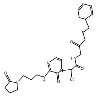 CCC(C(=O)NCC(=O)CSCC1C=CC=CC1)n1ccnc(NCCCN2CCCC2=O)c1=O